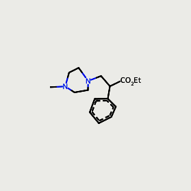 CCOC(=O)C(CN1CCN(C)CC1)c1ccccc1